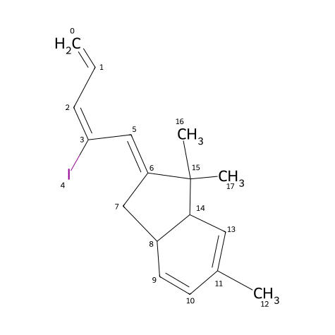 C=C/C=C(I)\C=C1/CC2C=CC(C)=CC2C1(C)C